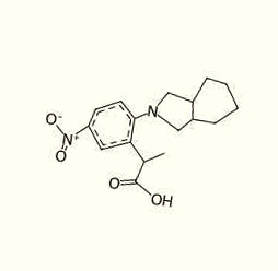 CC(C(=O)O)c1cc([N+](=O)[O-])ccc1N1CC2CCCCC2C1